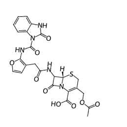 CC(=O)OCC1=C(C(=O)O)N2C(=O)C(NC(=O)Cc3ccoc3NC(=O)n3c(=O)[nH]c4ccccc43)[C@@H]2SC1